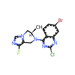 C[C@@H]1Cn2cnc(F)c2CN1c1nc(Cl)nc2cc(Br)ccc12